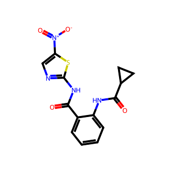 O=C(Nc1ncc([N+](=O)[O-])s1)c1ccccc1NC(=O)C1CC1